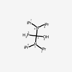 CC(C)N(C(C)C)C(O)(P)N(C(C)C)C(C)C